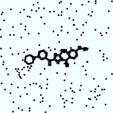 CC(C)Oc1ccc(C(=O)n2nc(Nc3cccc(N4CCCCC4)c3)nc2N)cc1